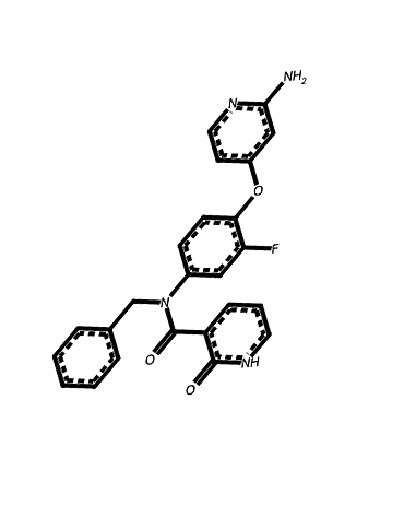 Nc1cc(Oc2ccc(N(Cc3ccccc3)C(=O)c3ccc[nH]c3=O)cc2F)ccn1